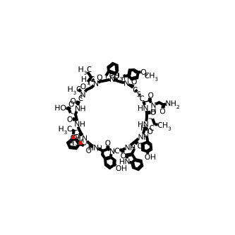 CCCC[C@H]1C(=O)N(C)CC(=O)N[C@@H](CC(=O)O)C(=O)N[C@@H](C(C)C)C(=O)N(C)[C@@H](Cc2ccccc2)C(=O)N[C@H]2Cc3ccc(O)cc3N(CC(=O)N[C@@H](Cc3c[nH]c4ccccc34)C(=O)N[C@@H](Cc3ccc(O)cc3)C(=O)N[C@@H](CC(C)C)C(=O)N[C@H](C(=O)NCC(N)=O)CSCC(=O)N[C@@H](Cc3ccc(OC)cc3)C(=O)N(C)[C@@H](Cc3ccccc3)C(=O)N1C)C2=O